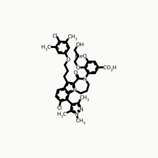 COc1cc(C(=O)O)cc(N2CCCn3c(c(CCCOc4cc(C)c(Cl)c(C)c4)c4ccc(Cl)c(-c5c(C)nn(C)c5C)c43)C2=O)c1OCCCO